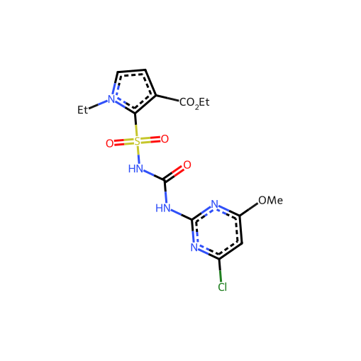 CCOC(=O)c1ccn(CC)c1S(=O)(=O)NC(=O)Nc1nc(Cl)cc(OC)n1